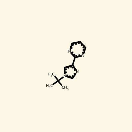 CC(C)(C)n1cnc(-c2ncccn2)c1